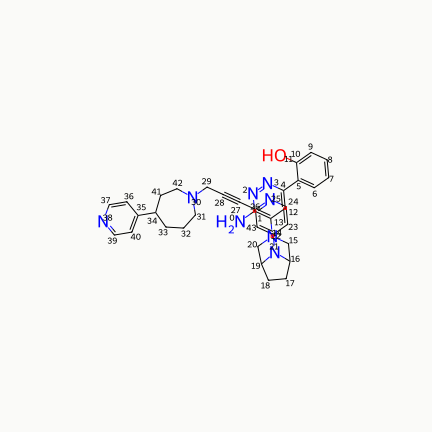 Nc1nnc(-c2ccccc2O)cc1N1CC2CCC(C1)N2c1ccnc(C#CCN2CCCC(c3ccncc3)CC2)c1